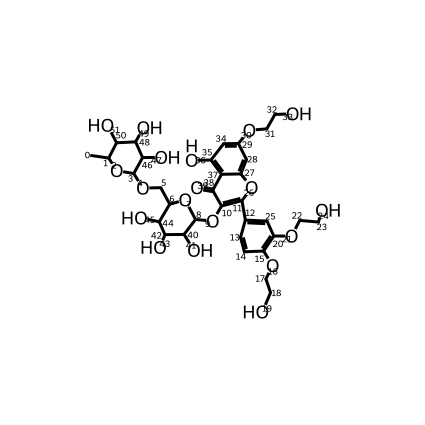 CC1OC(OCC2OC(Oc3c(-c4ccc(OCCO)c(OCCO)c4)oc4cc(OCCO)cc(O)c4c3=O)C(O)C(O)C2O)C(O)C(O)C1O